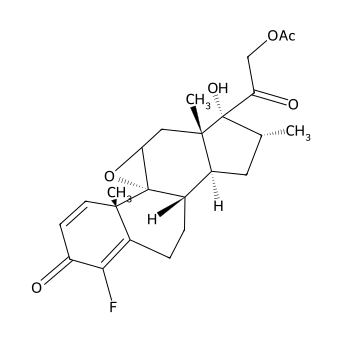 CC(=O)OCC(=O)[C@@]1(O)[C@H](C)C[C@H]2[C@@H]3CCC4=C(F)C(=O)C=C[C@]4(C)[C@]34OC4C[C@@]21C